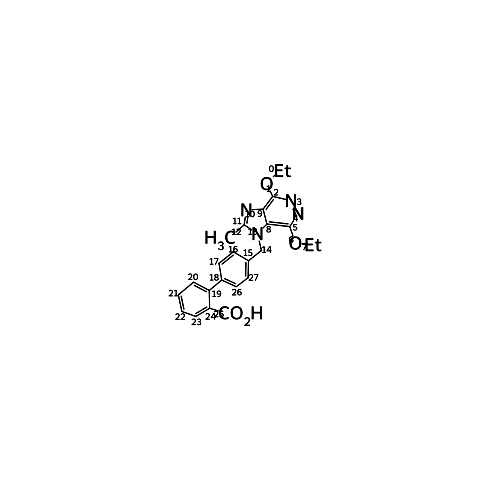 CCOc1nnc(OCC)c2c1nc(C)n2Cc1ccc(-c2ccccc2C(=O)O)cc1